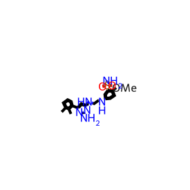 COc1ccc(NCCNc2cc(-c3cccc(C)c3C)nc(N)n2)cc1S(N)(=O)=O